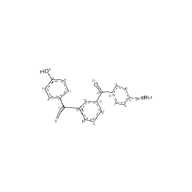 C=C(c1ccc(O)cc1)c1cccc(C(=O)c2ccc(C(C)(C)C)cc2)c1